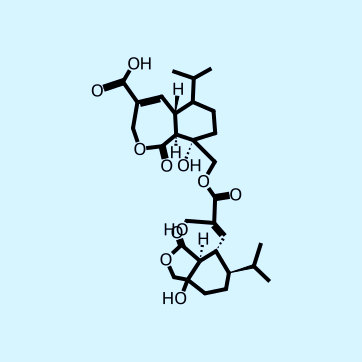 CC(C)C1CC[C@@](O)(COC(=O)/C(=C/[C@@H]2[C@@H](C(C)C)CCC3(O)COC(=O)[C@@H]23)CO)[C@H]2C(=O)OCC(C(=O)O)=C[C@H]12